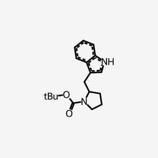 CC(C)(C)OC(=O)N1CCCC1Cc1c[nH]c2ccccc12